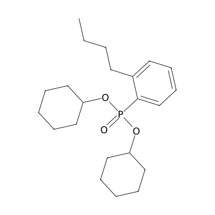 CCCCc1ccccc1P(=O)(OC1CCCCC1)OC1CCCCC1